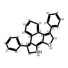 c1ccc(C2=c3c(c4c(c5ccccc35)=C(c3ccccc3)CO4)NC2)cc1